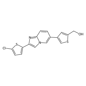 OCc1cc(-c2ccc3nc(-c4ccc(Cl)s4)cn3c2)cs1